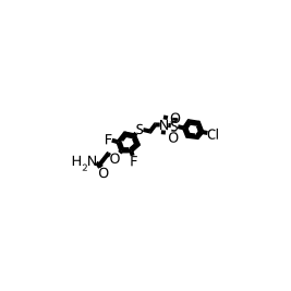 C[N+](C)(CCSc1cc(F)c(OCC(N)=O)c(F)c1)S(=O)(=O)c1ccc(Cl)cc1